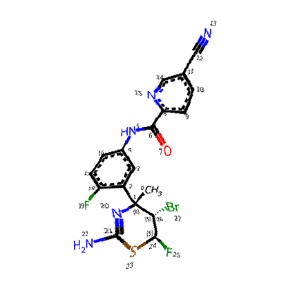 C[C@]1(c2cc(NC(=O)c3ccc(C#N)cn3)ccc2F)N=C(N)S[C@H](F)[C@H]1Br